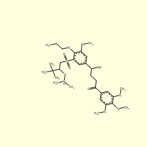 CCCOc1c(OC)cc(C(O)CCC(=O)c2cc(OC)c(OC)c(OC)c2)cc1S(=O)(=O)CC(O[SiH](C)C)C(C)(C)C